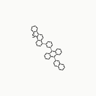 c1cc(-c2c3ccccc3c(-c3ccc4ccccc4c3)c3ccccc23)cc(-c2cccc3c2ccc2c4ccccc4sc32)c1